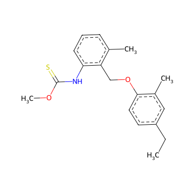 CCc1ccc(OCc2c(C)cccc2NC(=S)OC)c(C)c1